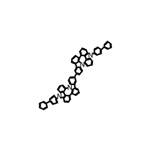 c1ccc(-c2ccc(-n3c4cccc5c6cccc7c8cc(-c9ccc%10c(c9)c9cccc%11c%12cccc%13c%12c%12c(cccc%12n%10c%119)n%13-c9ccc(-c%10ccccc%10)cc9)ccc8n(c8cccc3c8c54)c67)cc2)cc1